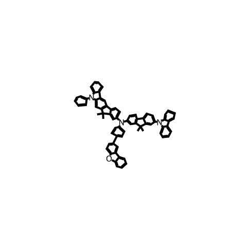 CC1(C)c2cc(N(c3ccc(-c4ccc5oc6ccccc6c5c4)cc3)c3ccc4c(c3)C(C)(C)c3cc5c(cc3-4)c3ccccc3n5-c3ccccc3)ccc2-c2ccc(-n3c4ccccc4c4ccccc43)cc21